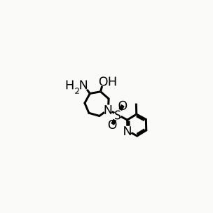 Cc1cccnc1S(=O)(=O)N1CCCC(N)C(O)C1